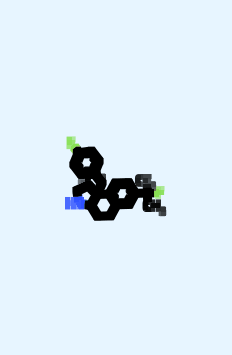 C[C@H]1CNC2CCc3cc(C(C)(F)C(F)(F)F)ccc3C21Cc1ccc(F)cc1